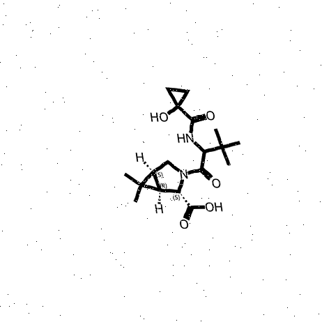 CC(C)(C)C(NC(=O)C1(O)CC1)C(=O)N1C[C@H]2[C@@H]([C@H]1C(=O)O)C2(C)C